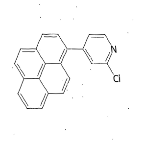 Clc1cc(-c2ccc3ccc4cccc5ccc2c3c45)ccn1